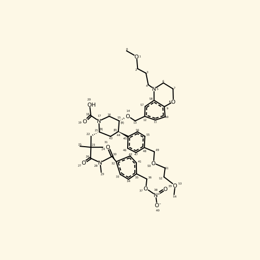 COCCCN1CCOc2ccc(CO[C@H]3CN(C(=O)O)[C@@H](CC(C)(C)C(=O)N(C)C(=O)c4ccc(CO[N+](=O)[O-])cc4)C[C@@H]3c3ccc(COCCOC)cc3)cc21